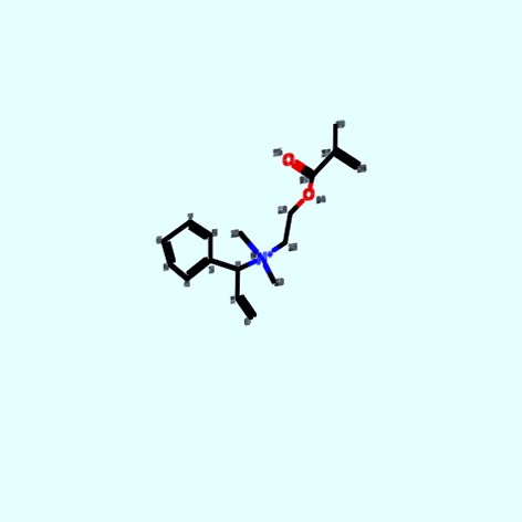 C=CC(c1ccccc1)[N+](C)(C)CCOC(=O)C(=C)C